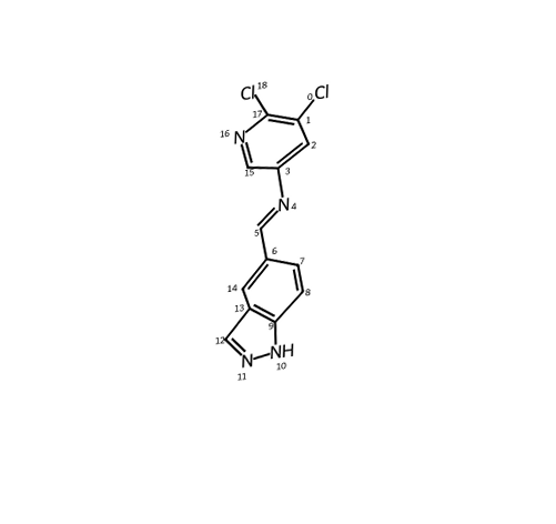 Clc1cc(N=Cc2ccc3[nH]ncc3c2)cnc1Cl